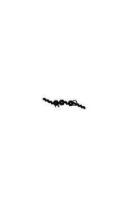 CCCCCCCOc1ccc(CCc2ccc(-c3ccc(CCCCCCC)cn3)cc2)cc1